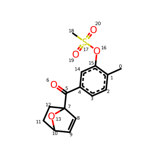 Cc1ccc(C(=O)C23C=CC(CC2)O3)cc1OS(C)(=O)=O